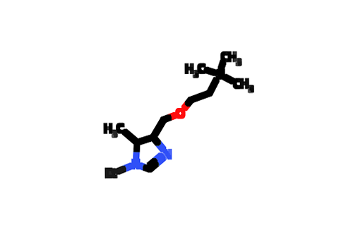 CCN1C=NC(COCC[Si](C)(C)C)C1C